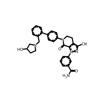 N#Cc1nn(-c2cccc(C(N)=O)c2)c2c1CCN(c1ccc(-c3ccccc3CN3CCC(O)C3)cc1)C2=O